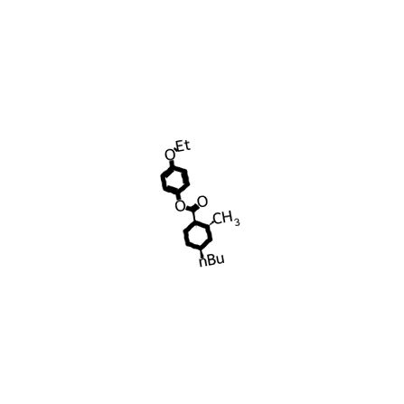 CCCC[C@H]1CC[C@@H](C(=O)Oc2ccc(OCC)cc2)[C@H](C)C1